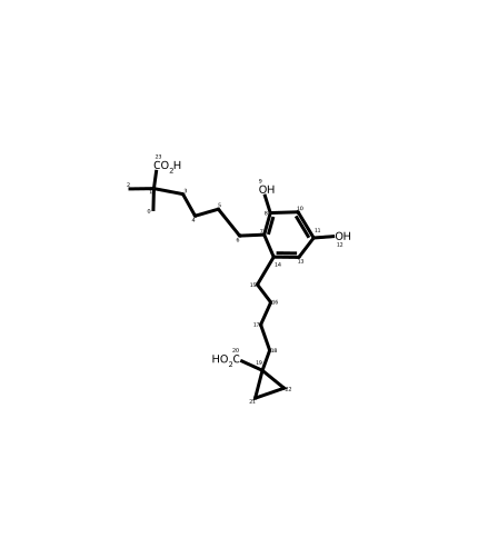 CC(C)(CCCCc1c(O)cc(O)cc1CCCCC1(C(=O)O)CC1)C(=O)O